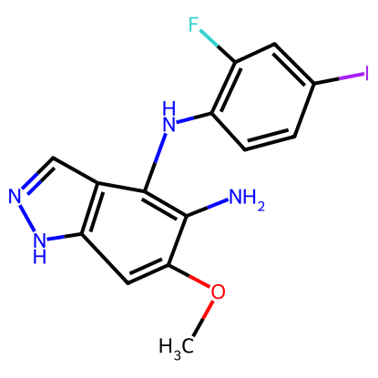 COc1cc2[nH]ncc2c(Nc2ccc(I)cc2F)c1N